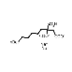 CCCCCCCCCCCCCCCC(CC(=O)[O-])(C(=O)[O-])S(=O)(=O)O.[Na+].[Na+]